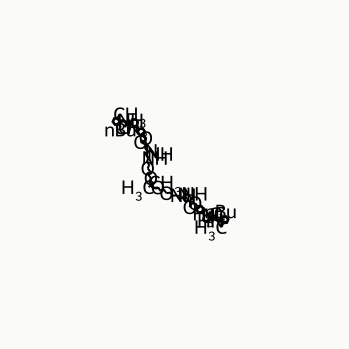 CCCCN1C(C(=O)Nc2c(C)cccc2C)CCCC1c1ccc(OC(=O)CC/C(=C/NCCOCCOCC(C)(C)COCCOCCN/C=C(/CCC(=O)Oc2ccc(C3CCCC(C(=O)Nc4c(C)cccc4C)N3CCCC)cc2)N=N)N=N)cc1